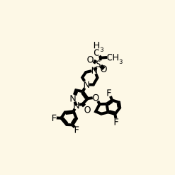 CC(C)S(=O)(=O)N1CCN(c2cnn(-c3cc(F)cc(F)c3)c(=O)c2OC2CCc3c(F)ccc(F)c32)CC1